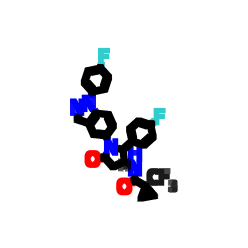 O=C1C[C@H](NC(=O)C2(C(F)(F)F)CC2)C(c2ccc(F)cc2)N1c1ccc2c(cnn2-c2ccc(F)cc2)c1